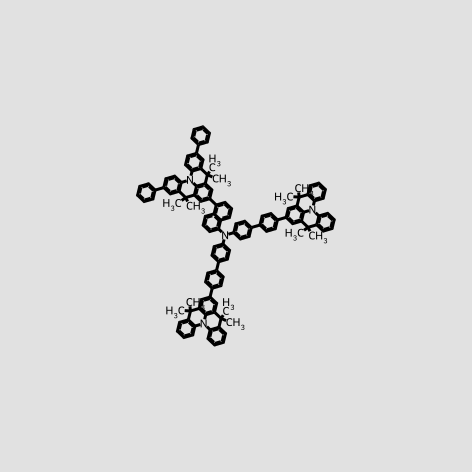 CC1(C)c2ccccc2N2c3ccccc3C(C)(C)c3cc(-c4ccc(-c5ccc(N(c6ccc(-c7ccc(-c8cc9c%10c(c8)C(C)(C)c8ccccc8N%10c8ccccc8C9(C)C)cc7)cc6)c6cccc7c(-c8cc9c%10c(c8)C(C)(C)c8cc(-c%11ccccc%11)ccc8N%10c8ccc(-c%10ccccc%10)cc8C9(C)C)cccc67)cc5)cc4)cc1c32